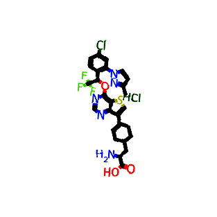 Cc1ccn(-c2cc(Cl)ccc2C(Oc2ncnc3c(C4=CCC(CC(N)C(=O)O)CC4)csc23)C(F)(F)F)n1.Cl